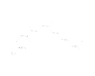 C=C(/C=C\C(=C)C(C)CCC(C)CCCCC=C(F)F)CC